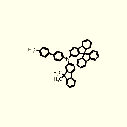 Cc1ccc(-c2ccc(N(c3ccc4c(c3)C(C)(C)c3ccccc3-4)c3ccc4c(c3)C3(c5ccccc5C5C=CC=CC53)C3C=CC=CC43)cc2)cc1